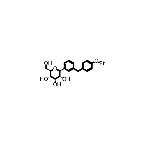 CCOc1ccc(Cc2cccc([C@@H]3O[C@H](CO)[C@@H](O)[C@H](O)[C@H]3O)c2)cc1